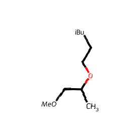 CCC(C)CCOC(C)COC